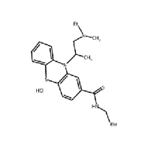 CCC(C)CNC(=S)c1ccc2c(c1)N(C(C)CN(C)CC)c1ccccc1S2.Cl